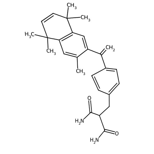 C=C(c1ccc(CC(C(N)=O)C(N)=O)cc1)c1cc2c(cc1C)C(C)(C)C=CC2(C)C